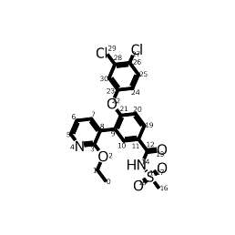 CCOc1ncccc1-c1cc(C(=O)NS(C)(=O)=O)ccc1Oc1ccc(Cl)c(Cl)c1